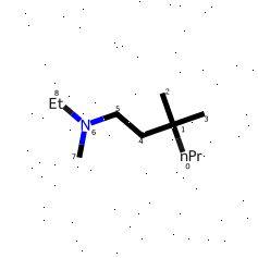 CCCC(C)(C)CCN(C)CC